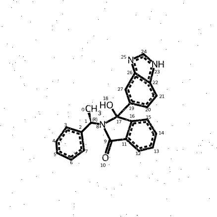 C[C@H](c1ccccc1)N1C(=O)c2ccccc2C1(O)c1ccc2[nH][c]nc2c1